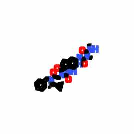 CNC(=O)N(C)C(=O)Nc1ccc2c(c1)CCC21NC(=O)N(CC(=O)N(Cc2ccccc2)[C@@H](C)C2CC2)C1=O